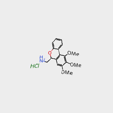 COc1cc2c(c(OC)c1OC)-c1ccccc1OC2CN.Cl